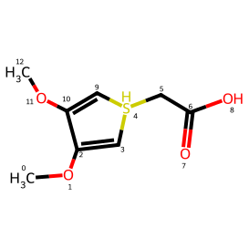 COC1=C[SH](CC(=O)O)C=C1OC